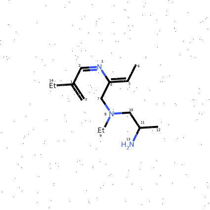 C=C(/C=N\C(=C/C)CN(CC)CC(C)N)CC